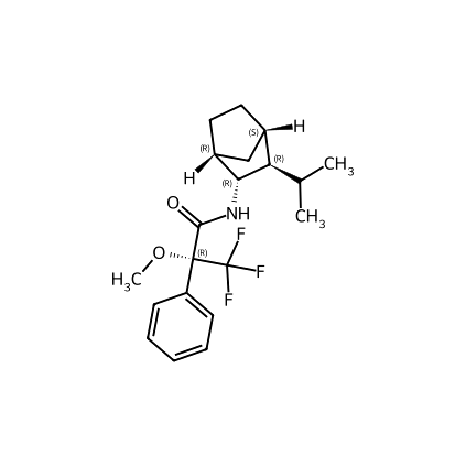 CO[C@@](C(=O)N[C@@H]1[C@@H]2CC[C@@H](C2)[C@H]1C(C)C)(c1ccccc1)C(F)(F)F